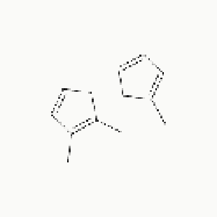 CC1=C(C)CC=C1.CC1=CC=CC1